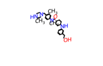 Cc1cc(N(C)C(=O)[C@H]2CC[C@H](Nc3cccc(CCO)c3)CC2)ccc1CN1CCN[C@@H](C)C1